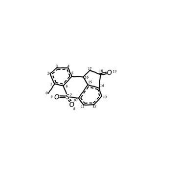 Cc1cccc2c1S(=O)(=O)c1cccc3c1C2CC3=O